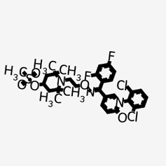 CC1(C)CC(OS(C)(=O)=O)CC(C)(C)N1CCON=C(c1ccc(=O)n(-c2c(Cl)cccc2Cl)c1)c1ccc(F)cc1F